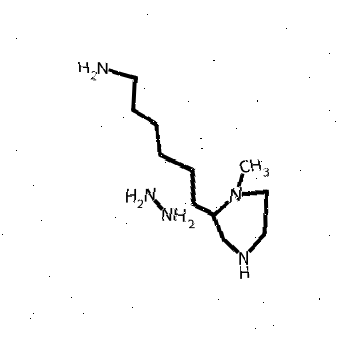 CN1CCNCC1CCCCCCN.NN